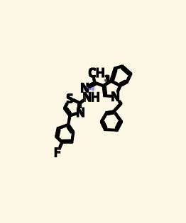 C/C(=N/Nc1nc(-c2ccc(F)cc2)cs1)c1cn(Cc2ccccc2)c2ccccc12